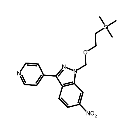 C[Si](C)(C)CCOCn1nc(-c2ccncc2)c2ccc([N+](=O)[O-])cc21